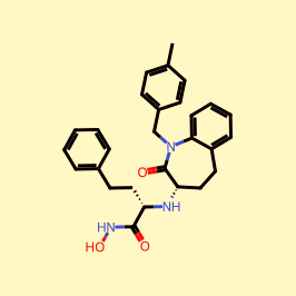 Cc1ccc(CN2C(=O)[C@@H](N[C@@H](CCc3ccccc3)C(=O)NO)CCc3ccccc32)cc1